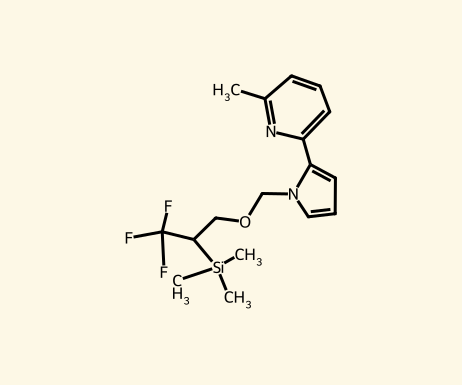 Cc1cccc(-c2cccn2COCC(C(F)(F)F)[Si](C)(C)C)n1